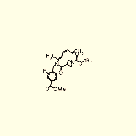 C=C/C=C\C=C(/C)N(Cc1ccc(C(=O)OC)cc1F)C(=O)C1CN(C(=O)OC(C)(C)C)C1